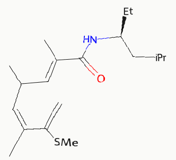 C=C(SC)/C(C)=C\C(C)/C=C(\C)C(=O)N[C@@H](CC)CC(C)C